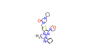 CCc1nc2ccccc2n1-c1nc(N2CCOCC2)c2sc(CN3CCN(C4CCCC4)CC3=O)cc2n1